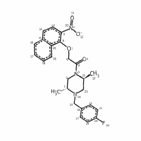 C[C@@H]1CN(C(=O)COc2c([N+](=O)[O-])ccc3ccccc23)[C@@H](C)CN1Cc1ccc(F)cc1